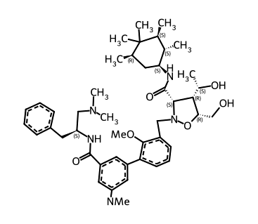 CNc1cc(C(=O)N[C@@H](Cc2ccccc2)CN(C)C)cc(-c2cccc(CN3O[C@@H](CO)[C@@H]([C@H](C)O)[C@H]3C(=O)N[C@H]3C[C@@H](C)C(C)(C)[C@@H](C)[C@@H]3C)c2OC)c1